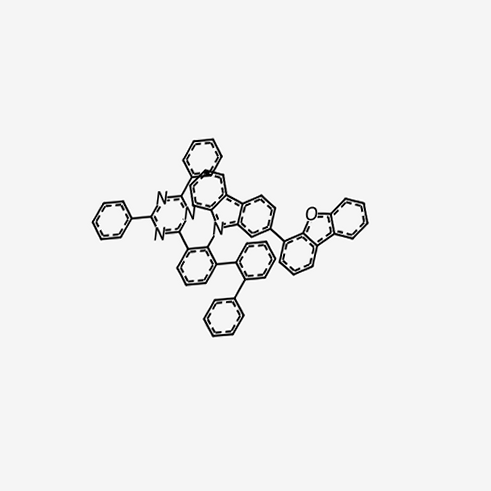 c1ccc(-c2nc(-c3ccccc3)nc(-c3cccc(-c4ccccc4-c4ccccc4)c3-n3c4ccccc4c4ccc(-c5cccc6c5oc5ccccc56)cc43)n2)cc1